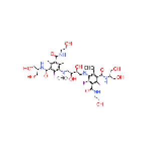 Cc1c(C(=O)NCCO)c(C)c(N(C=O)CC(O)C(O)CN(C=O)c2c(C)c(C(=O)NC(CO)CO)c(I)c(C(=O)NCCO)c2I)c(I)c1C(=O)NC(CO)CO